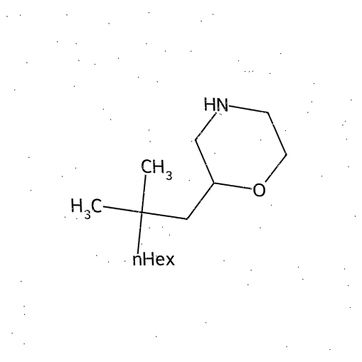 CCCCCCC(C)(C)CC1CNCCO1